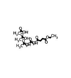 CC(=O)O.CC(=O)O.CC(=O)O.CC(=O)O.CCOC(=O)CCC(C)=O